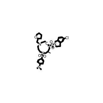 C[C@H]1CN(S(=O)(=O)c2ccc(N(C)C)cc2)CCCN(CC2CCCCO2)CCCN(S(=O)(=O)N2CCc3cc(Cl)ccc3C2)C1